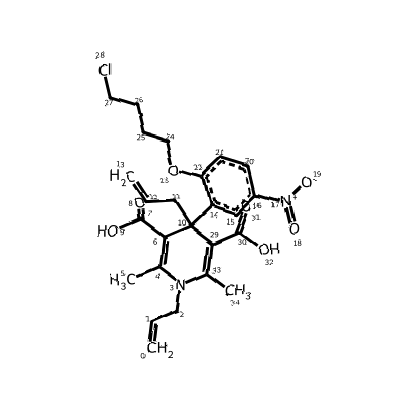 C=CCN1C(C)=C(C(=O)O)C(CC=C)(c2cc([N+](=O)[O-])ccc2OCCCCCl)C(C(=O)O)=C1C